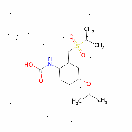 CC(C)OC1CCC(NC(=O)O)C(CS(=O)(=O)C(C)C)C1